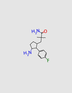 CC(C)(CC1CCC(N)C1c1ccc(F)cc1)C(N)=O